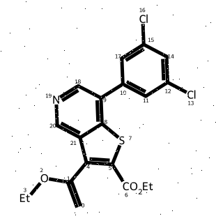 C=C(OCC)c1c(C(=O)OCC)sc2c(-c3cc(Cl)cc(Cl)c3)cncc12